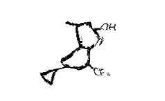 Cc1cc(O)nc2c(C(F)(F)F)cc(C3CC3)cc12